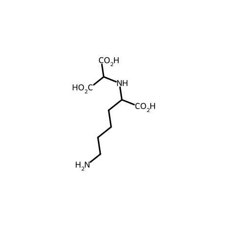 NCCCCC(NC(C(=O)O)C(=O)O)C(=O)O